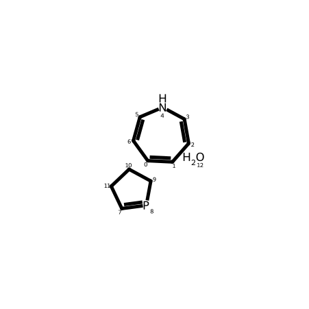 C1=CC=CNC=C1.C1=PCCC1.O